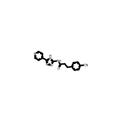 N#Cc1ccc(CCC(=O)Nc2nnc(-c3ccncc3)[nH]2)cc1